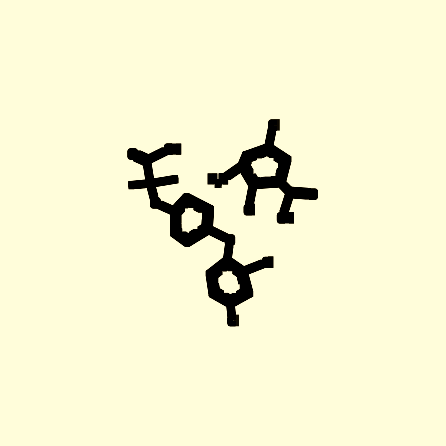 CC(C)(Oc1ccc(Oc2ccc(Cl)cc2Cl)cc1)C(=O)O.Nc1cc(Cl)cc(C(=O)O)c1Cl